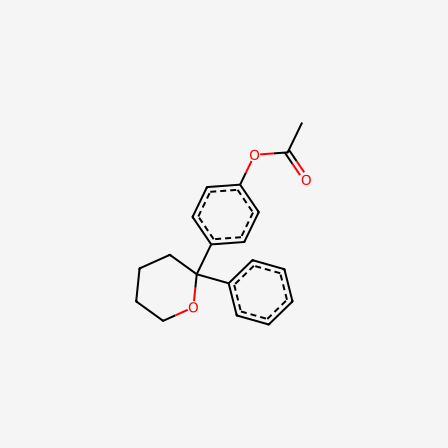 CC(=O)Oc1ccc(C2(c3ccccc3)CCCCO2)cc1